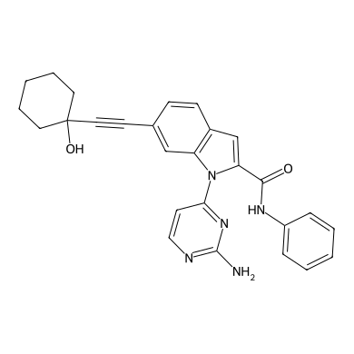 Nc1nccc(-n2c(C(=O)Nc3ccccc3)cc3ccc(C#CC4(O)CCCCC4)cc32)n1